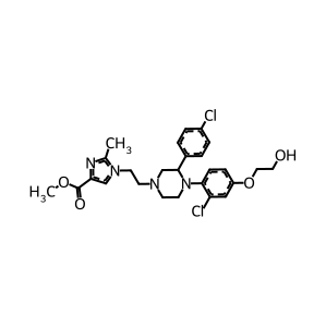 COC(=O)c1cn(CCN2CCN(c3ccc(OCCO)cc3Cl)C(c3ccc(Cl)cc3)C2)c(C)n1